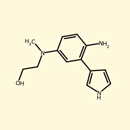 CN(CCO)c1ccc(N)c(-c2cc[nH]c2)c1